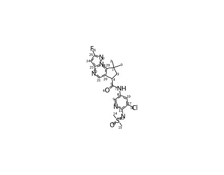 CC1(C)CC(C(=O)Nc2cnc(N=S(C)(C)=O)c(Cl)c2)c2cnc3cc(F)nn3c21